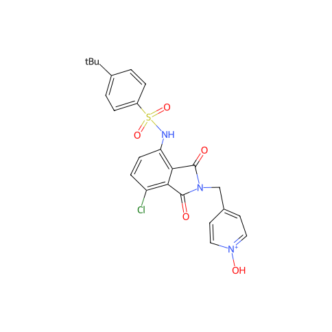 CC(C)(C)c1ccc(S(=O)(=O)Nc2ccc(Cl)c3c2C(=O)N(Cc2cc[n+](O)cc2)C3=O)cc1